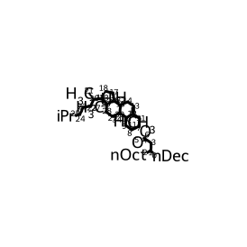 CCCCCCCCCCC(CCCCCCCC)CC(=O)O[C@H]1CC[C@@]2(C)C(=CC[C@H]3[C@@H]4CC[C@H]([C@H](C)CCCC(C)C)[C@@]4(C)CC[C@@H]32)C1